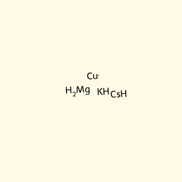 [CsH].[Cu].[KH].[MgH2]